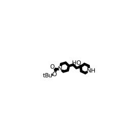 CC(C)(C)OC(=O)N1CCC(CCC2(O)CCNCC2)CC1